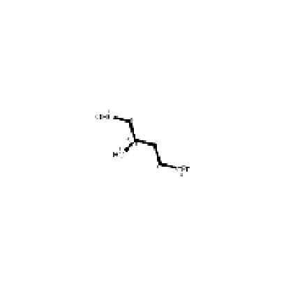 CCCCC[C@@H](O)CC=O